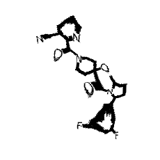 N#Cc1cccnc1C(=O)N1CCC2(CC1)OC1CCC(c3cc(F)cc(F)c3)N1C2=O